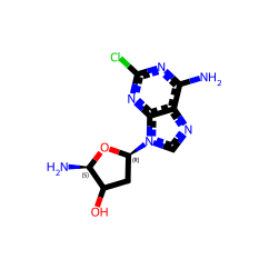 Nc1nc(Cl)nc2c1ncn2[C@H]1CC(O)[C@@H](N)O1